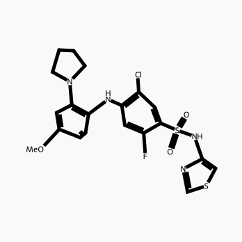 COc1ccc(Nc2cc(F)c(S(=O)(=O)Nc3cscn3)cc2Cl)c(N2CCCC2)c1